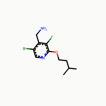 CC(C)CCOc1ncc(Br)c(CN)c1F